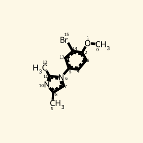 COc1ccc(-n2cc(C)nc2C)cc1Br